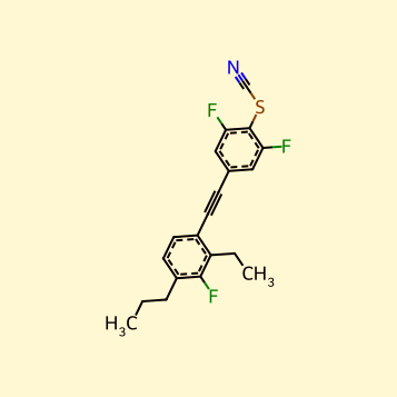 CCCc1ccc(C#Cc2cc(F)c(SC#N)c(F)c2)c(CC)c1F